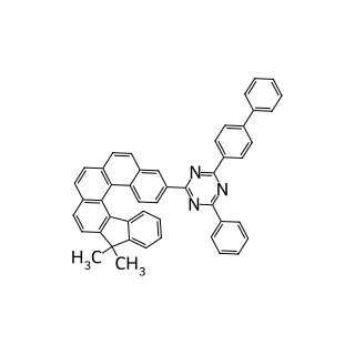 CC1(C)c2ccccc2-c2c1ccc1ccc3ccc4cc(-c5nc(-c6ccccc6)nc(-c6ccc(-c7ccccc7)cc6)n5)ccc4c3c21